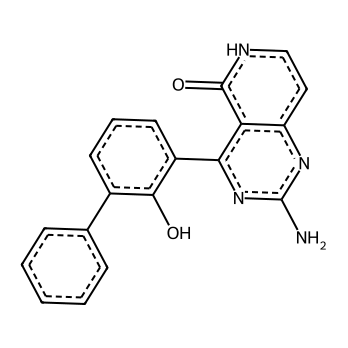 Nc1nc(-c2cccc(-c3ccccc3)c2O)c2c(=O)[nH]ccc2n1